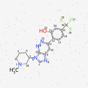 CN1CCC[C@@H](n2cnc3cc(-c4ccc(C(F)(F)F)cc4O)nnc32)C1